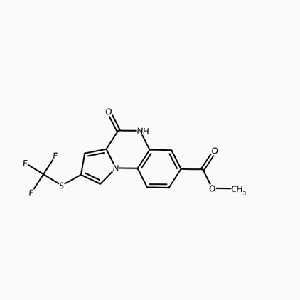 COC(=O)c1ccc2c(c1)[nH]c(=O)c1cc(SC(F)(F)F)cn12